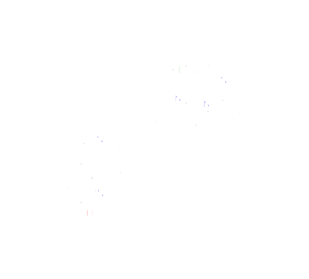 O=C(O)Nc1ccnc(CCc2cccc(Nc3nc(Cl)ncc3Cl)c2)c1